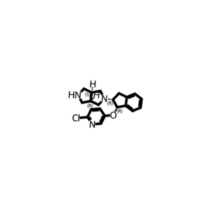 Clc1ccc(O[C@@H]2c3ccccc3C[C@H]2N2C[C@H]3CNC[C@H]3C2)cn1